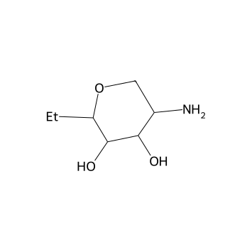 CCC1OCC(N)C(O)C1O